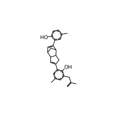 C=C(C)Cc1cc(C)cc(C2=CC3C4C=C(c5cc(C)ccc5O)C(C4)C3C2)c1O